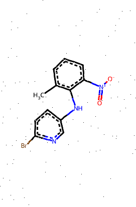 Cc1cccc([N+](=O)[O-])c1Nc1ccc(Br)nc1